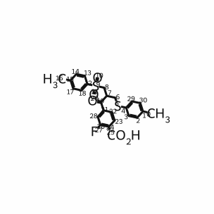 Cc1ccc(SCC(CS(=O)(=O)c2ccc(C)cc2)C(=O)c2ccc(C(=O)O)c(F)c2)cc1